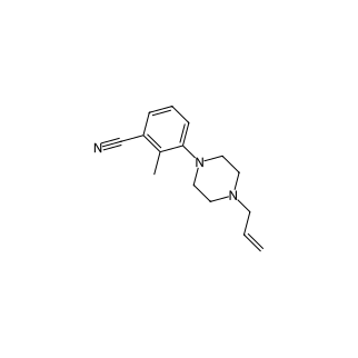 C=CCN1CCN(c2cccc(C#N)c2C)CC1